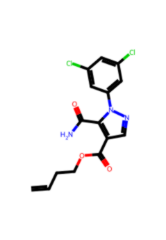 C=CCCOC(=O)c1cnn(-c2cc(Cl)cc(Cl)c2)c1C(N)=O